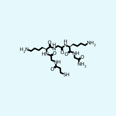 NCCCC[C@H](NC(=O)CNC(=O)CCS)C(=O)NCC(=O)N[C@@H](CCCCN)C(=O)NCC(N)=O